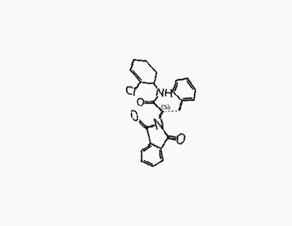 O=C(NC1CCCC=C1Cl)[C@H](Cc1ccccc1)N1C(=O)c2ccccc2C1=O